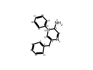 NC1C=NC(Cc2ccccc2)=CN1c1ccccc1